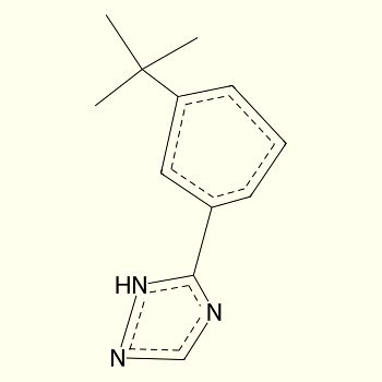 CC(C)(C)c1cccc(-c2ncn[nH]2)c1